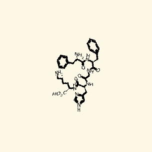 NCCCC[C@H](NC(=O)[C@H](Cc1c[nH]cn1)NC(=O)CNC(=O)[C@H](Cc1ccccc1)NC(=O)[C@@H](N)Cc1ccccc1)C(=O)O